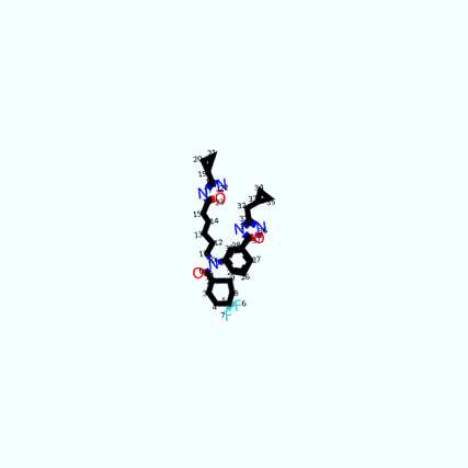 O=C(C1CCC(F)(F)CC1)N(CCCCCc1nc(C2CC2)no1)c1cccc(-c2nc(CC3CC3)no2)c1